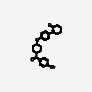 CC(C)N1C=CN(C(=O)C2CCC(Oc3ccc(N4CCCCC4=O)cc3)CC2)C=C1